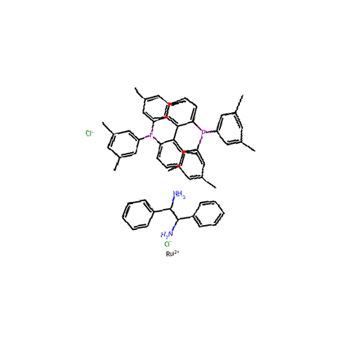 Cc1cc(C)cc(P(c2cc(C)cc(C)c2)c2cccc(C)c2-c2c(C)cccc2P(c2cc(C)cc(C)c2)c2cc(C)cc(C)c2)c1.NC(c1ccccc1)C(N)c1ccccc1.[Cl-].[Cl-].[Ru+2]